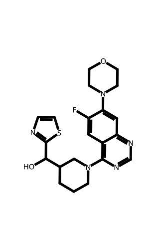 OC(c1nccs1)C1CCCN(c2ncnc3cc(N4CCOCC4)c(F)cc23)C1